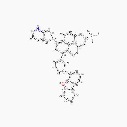 CC(C)(C)c1cc2ccc3c(-c4cccc(-c5cccc6c5oc5ccccc56)c4)cc(-c4ccc5ncccc5c4)c4ccc(c1)c2c34